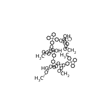 C=CC(=O)OCC(COc1ccc(C2(c3ccc(OCC(COC(=O)C=C)OC(=O)C4CC=CCC4C(=O)O)cc3)c3ccccc3-c3ccccc32)cc1)OC(=O)c1cc(-c2ccc(C(=O)OCC(O)COCCCC)c(C(=O)OC(COC(=O)C=C)COc3ccc(C4(c5ccc(C)cc5)c5ccccc5-c5ccccc54)cc3)c2)ccc1C(=O)O